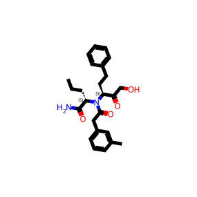 CCC[C@@H](C(N)=O)N(C(=O)Cc1cccc(C)c1)[C@@H](CCc1ccccc1)C(=O)CO